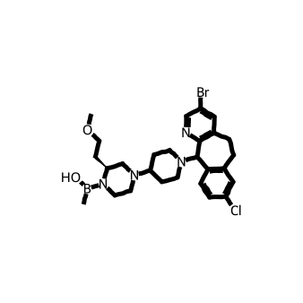 COCC[C@H]1CN(C2CCN(C3c4ccc(Cl)cc4CCc4cc(Br)cnc43)CC2)CCN1B(C)O